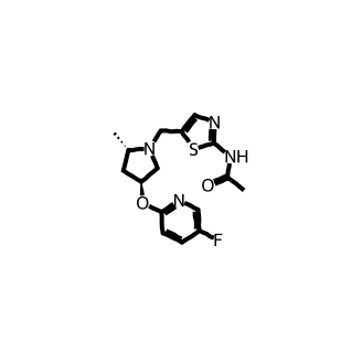 CC(=O)Nc1ncc(CN2C[C@@H](Oc3ccc(F)cn3)C[C@@H]2C)s1